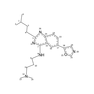 CC(C)CCc1nc(NCCCN(C)C)c2cc(-c3cnco3)ccc2n1